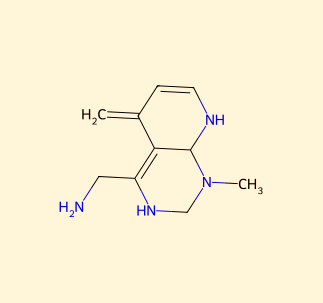 C=C1C=CNC2C1=C(CN)NCN2C